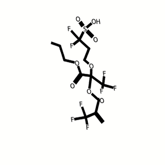 C=C(C(=O)OC(OCCC(F)(F)S(=O)(=O)O)(C(=O)OCCC)C(F)(F)F)C(F)(F)F